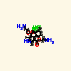 CC1=C(C(=O)OCCN)C(c2ccccc2[N+](=O)[O-])C(C(=O)OCCN)=C(C)N1.Cl.Cl